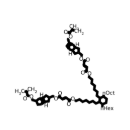 C=C(C)C(=O)OCC1CC2CC1[C@H]1CC(COC(=O)/C=C/C(=O)OCCCCCCCC3C(CCCCCC)CCC(CCCCCCCC)C3CCCCCCCOC(=O)/C=C/C(=O)OCC3C[C@@H]4C5CC(COC(=O)C(=C)C)C(C5)[C@@H]4C3)C[C@@H]21